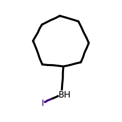 IBC1CCCCCCC1